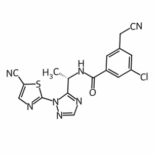 C[C@H](NC(=O)c1cc(Cl)cc(CC#N)c1)c1ncnn1-c1ncc(C#N)s1